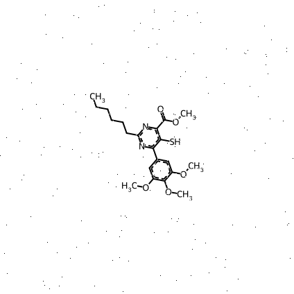 CCCCCCc1nc(C(=O)OC)c(S)c(-c2cc(OC)c(OC)c(OC)c2)n1